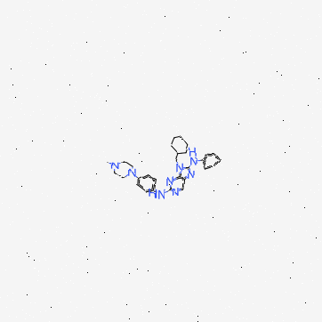 CN1CCN(c2ccc(Nc3ncc4nc(Nc5ccccc5)n(CC5CCCCC5)c4n3)cc2)CC1